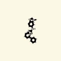 Cn1cnc2ccc(Nc3nc4cccc(-c5ccccc5)n4n3)cc21